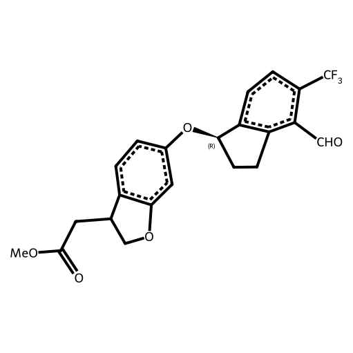 COC(=O)CC1COc2cc(O[C@@H]3CCc4c3ccc(C(F)(F)F)c4C=O)ccc21